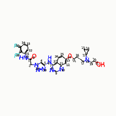 O=C(Cn1cc(Nc2ncnc3cc(OCCCN(CCO)C4CC4)ccc23)nn1)Nc1cccc(F)c1F